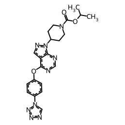 CC(C)OC(=O)N1CCC(n2ncc3c(Oc4ccc(-n5cnnn5)cc4)ncnc32)CC1